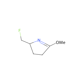 COC1=NC(CF)CC1